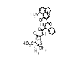 CC1(C)SC2C(NC(=O)C(NC(=O)c3cn4c5c(ccc(N)c5c3=O)CC4)c3ccccc3)C(=O)N2C1C(=O)O